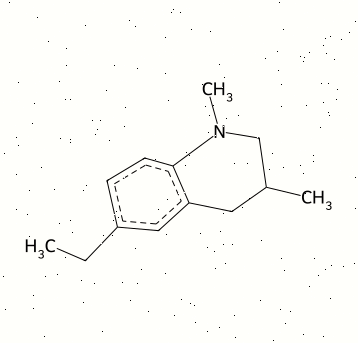 CCc1ccc2c(c1)CC(C)CN2C